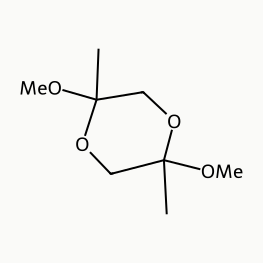 COC1(C)COC(C)(OC)CO1